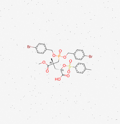 COC(=O)[C@@](C)(C[C@H](OS(=O)(=O)c1ccc(C)cc1)C(=O)O)CP(=O)(OCc1ccc(Br)cc1)OCc1ccc(Br)cc1